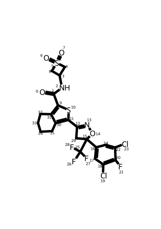 O=C(NC1CS(=O)(=O)C1)c1sc(C2=NOC(c3cc(Cl)c(F)c(Cl)c3)(C(F)(F)F)C2)c2c1CCCC2